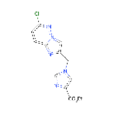 CCOC(=O)c1cn(Cc2cn3nc(Cl)ccc3n2)cn1